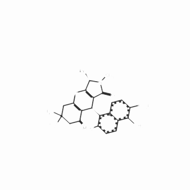 COc1ccc2c(C)c(C(=O)O)ccc2c1[C@H]1C2=C(CC(C)(C)CC2=O)OC2=C1C(=O)N(C)[C@@H]2C(C)C